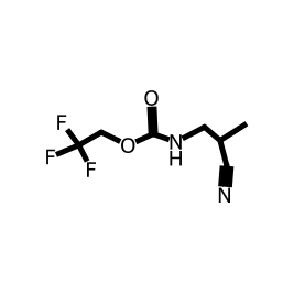 CC(C#N)CNC(=O)OCC(F)(F)F